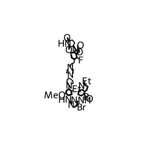 CCc1ccc2c(P(C)(C)=O)c(Nc3nc(Nc4cc(CC)c(N5CCC(N6CCN(CCc7ccc8c(oc(=O)n8C8CCC(=O)NC8=O)c7F)CC6)CC5)cc4OC)ncc3Br)ccc2n1